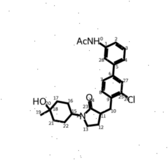 CC(=O)Nc1cccc(-c2ccc(CC3CCN(C4CCC(C)(O)CC4)C3=O)c(Cl)c2)c1